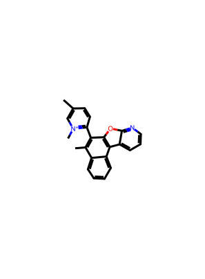 Cc1ccc(-c2c(C)c3ccccc3c3c2oc2ncccc23)[n+](C)c1